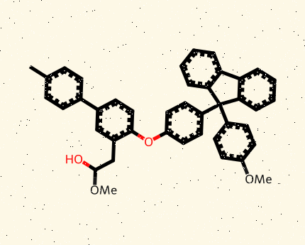 COc1ccc(C2(c3ccc(Oc4ccc(-c5ccc(C)cc5)cc4CC(O)OC)cc3)c3ccccc3-c3ccccc32)cc1